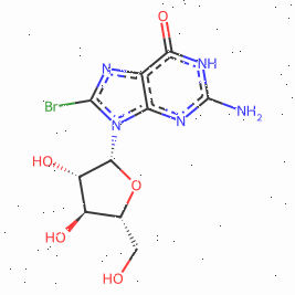 Nc1nc2c(nc(Br)n2[C@@H]2O[C@H](CO)[C@@H](O)[C@@H]2O)c(=O)[nH]1